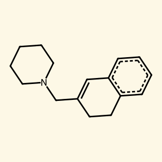 C1=C(CN2CCCCC2)CCc2ccccc21